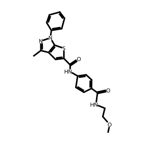 COCCNC(=O)c1ccc(NC(=O)c2cc3c(C)nn(-c4ccccc4)c3s2)cc1